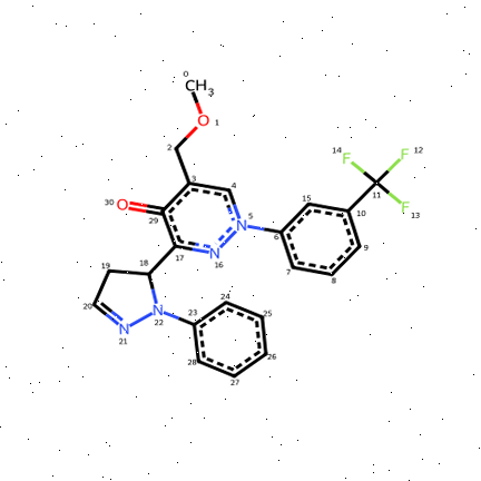 COCc1cn(-c2cccc(C(F)(F)F)c2)nc(C2CC=NN2c2ccccc2)c1=O